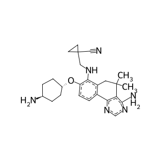 CC1(C)Cc2c(ccc(O[C@H]3CC[C@H](N)CC3)c2NCC2(C#N)CC2)-c2ncnc(N)c21